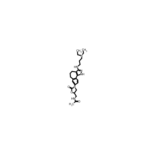 CCN(CC)CCCNc1n[nH]c2c1CCCc1cc(N3CC(CNC(C)=O)OC3=O)ccc1-2